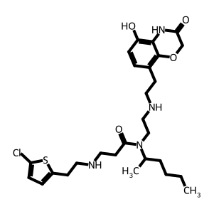 CCCCC(C)N(CCNCCc1ccc(O)c2c1OCC(=O)N2)C(=O)CCNCCc1ccc(Cl)s1